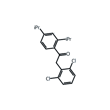 CC(C)c1[c]c(C(C)C)c(C(=O)Cc2c(Cl)cccc2Cl)cc1